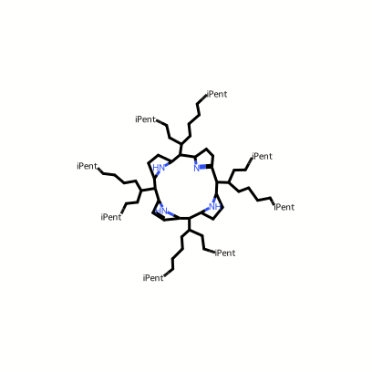 CCCC(C)CCCCC(CCC(C)CCC)C1C2=NC(CC2)C(C(CCCCC(C)CCC)CCC(C)CCC)C2CCC(N2)C(C(CCCCC(C)CCC)CCC(C)CCC)C2C=CC(N2)C(C(CCCCC(C)CCC)CCC(C)CCC)C2CCC1N2